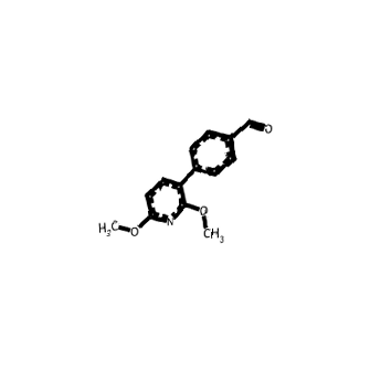 COc1ccc(-c2ccc([C]=O)cc2)c(OC)n1